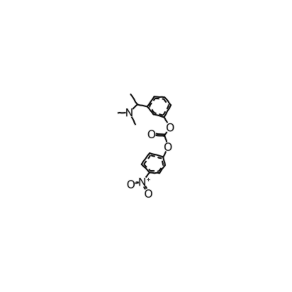 CC(c1cccc(OC(=O)Oc2ccc([N+](=O)[O-])cc2)c1)N(C)C